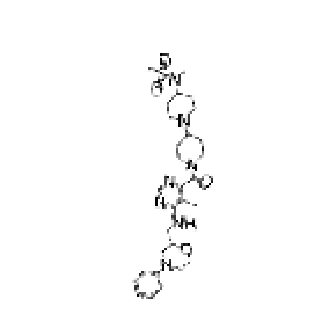 Cc1c(NCC2CN(c3ccccc3)CCO2)ncnc1C(=O)N1CCC(N2CCC(N(C)S(C)(=O)=O)CC2)CC1